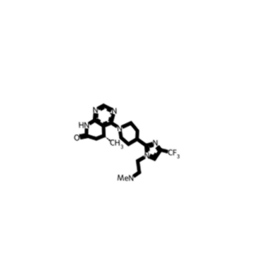 CNCCn1cc(C(F)(F)F)nc1C1CCN(c2ncnc3c2[C@H](C)CC(=O)N3)CC1